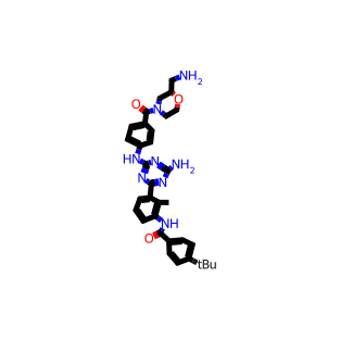 Cc1c(NC(=O)c2ccc(C(C)(C)C)cc2)cccc1-c1nc(N)nc(Nc2ccc(C(=O)N3CCOC(CN)C3)cc2)n1